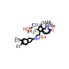 CCc1cc2c(cc1CC)CC(NCC(O)c1c(C)cc(OC)c3c1ccc(=O)n3OC)C2.O=C(O)CO